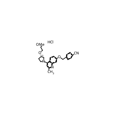 COCCO[C@H]1CCN(c2cc(C)nc3cc(OCc4ccc(C#N)cc4)ccc23)C1.Cl